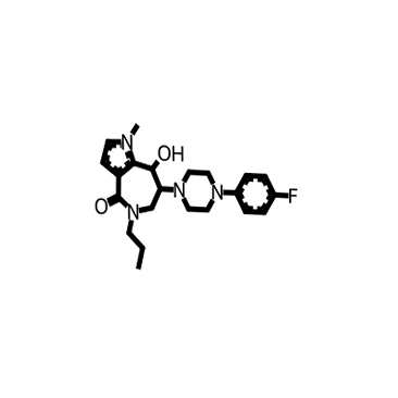 CCCN1CC(N2CCN(c3ccc(F)cc3)CC2)C(O)c2c(ccn2C)C1=O